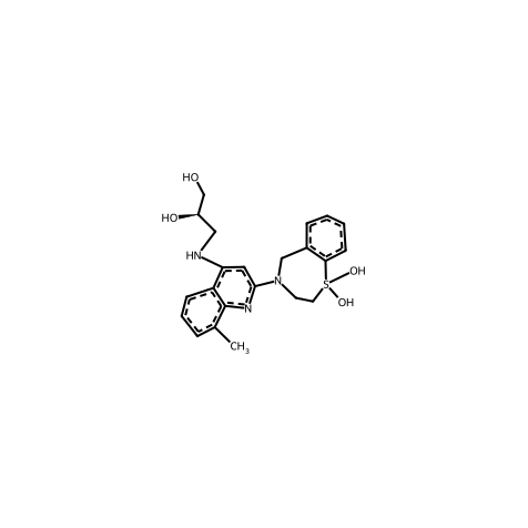 Cc1cccc2c(NC[C@@H](O)CO)cc(N3CCS(O)(O)c4ccccc4C3)nc12